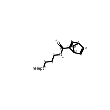 CCCCCCCCCCOC(=O)C1=CC2C=CC1C2